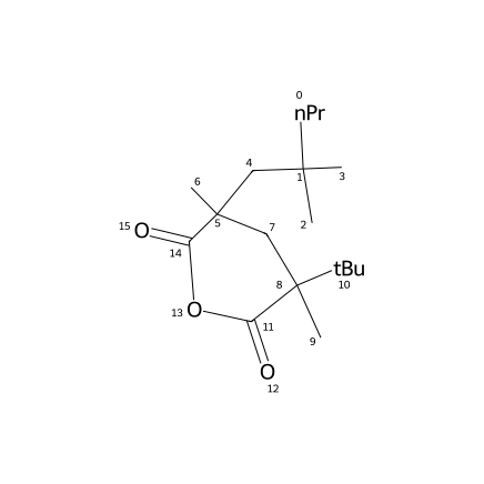 CCCC(C)(C)CC1(C)CC(C)(C(C)(C)C)C(=O)OC1=O